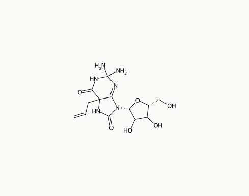 C=CCC12NC(=O)N([C@@H]3O[C@H](CO)C(O)C3O)C1=NC(N)(N)NC2=O